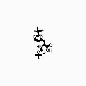 CC(C)(C)OC(=O)N[C@@H](Cc1ccnc(C(F)(F)F)n1)C(=O)O